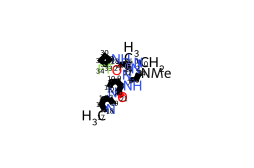 C=NN1C(NC)=CC(Nc2cccn(-c3ccc(C)nc3)c2=O)=N/C1=C(/C)C(=O)N[C@H]1CCC1(F)F